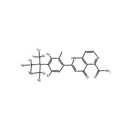 [2H]c1c(C)c(-c2cc(=O)c3c(C(N)=O)nccc3[nH]2)cc(Cl)c1C(C([2H])([2H])[2H])(C([2H])([2H])[2H])C([2H])([2H])[2H]